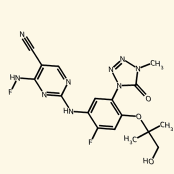 Cn1nnn(-c2cc(Nc3ncc(C#N)c(NF)n3)c(F)cc2OC(C)(C)CO)c1=O